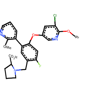 COc1ncccc1-c1cc(CN2CCCC2C(=O)O)c(F)cc1Oc1cnc(OC(C)C)c(Cl)c1